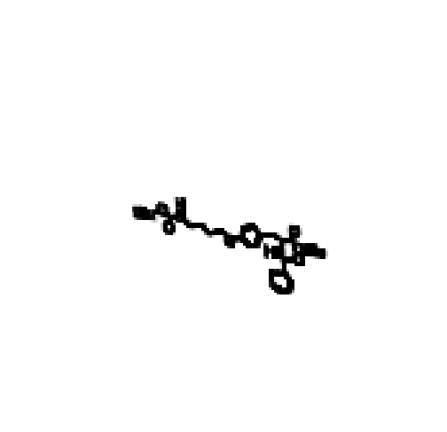 COC(=O)[C@H](Cc1ccc(OCCCCNC(=O)OC(C)(C)C)cc1)NC(=O)c1ccccc1